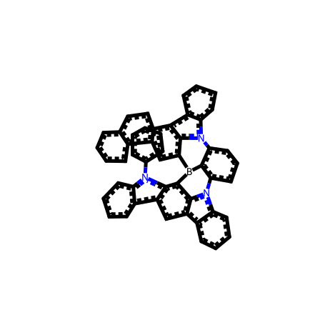 c1ccc(-n2c3ccccc3c3cc4c5ccccc5n5c4c(c32)B2c3c-5cccc3-n3c4ccccc4c4c5ccc6ccccc6c5cc2c43)cc1